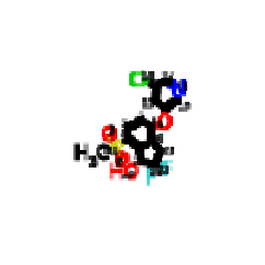 CS(=O)(=O)c1ccc(Oc2cncc(Cl)c2)c2c1[C@H](O)C(F)(F)C2